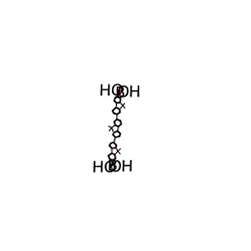 CC1(C)c2cc(B(O)O)ccc2-c2ccc(-c3ccc4c(c3)C(C)(C)c3cc(-c5ccc6c(c5)C(C)(C)c5cc(B(O)O)ccc5-6)ccc3-4)cc21